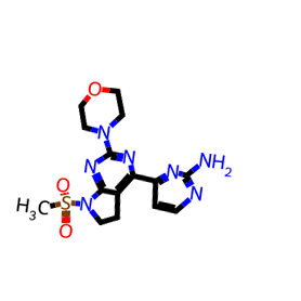 CS(=O)(=O)N1CCc2c(-c3ccnc(N)n3)nc(N3CCOCC3)nc21